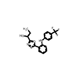 CCC(O)c1nnc(-c2ccccc2Nc2ccc(C(F)(F)F)cc2)o1